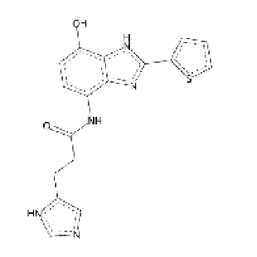 O=C(CCc1cnc[nH]1)Nc1ccc(O)c2[nH]c(-c3cccs3)nc12